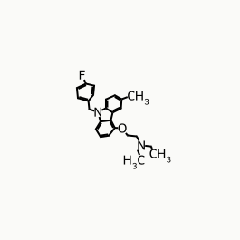 CCN(CC)CCOc1cccc2c1c1cc(C)ccc1n2Cc1ccc(F)cc1